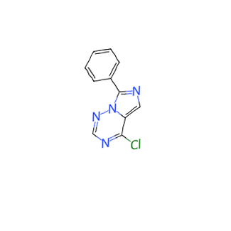 Clc1ncnn2c(-c3ccccc3)ncc12